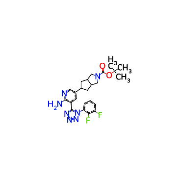 CC(C)(C)OC(=O)N1CC2CC(c3cnc(N)c(-c4nnnn4-c4cccc(F)c4F)c3)CC2C1